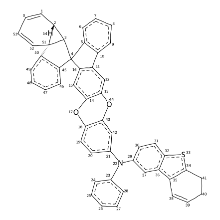 C1=C[C@@H]2C3C4(c5ccccc5-c5cc6c(cc54)Oc4ccc(N(c5ccccc5)c5ccc7sc8c(c7c5)C=CCC8)cc4O6)c4ccccc4[C@@]32C=C1